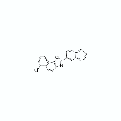 Clc1cccc2c1ccc1nc(-c3ccc4ccccc4c3)oc12